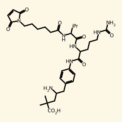 CC(C)C(NC(=O)CCCCCN1C(=O)C=CC1=O)C(=O)NC(CCCNC(N)=O)C(=O)Nc1ccc(CC(N)CC(C)(C)C(=O)O)cc1